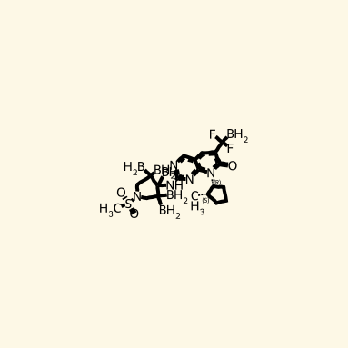 BC(F)(F)c1cc2cnc(NC3(B)C(B)(B)CN(S(C)(=O)=O)CC3(B)B)nc2n([C@@H]2CCC[C@@H]2C)c1=O